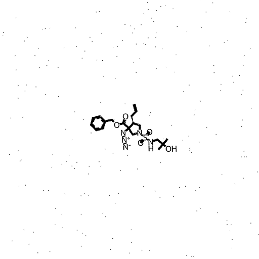 C=CC[C@H]1CN(S(=O)(=O)NCC(C)(C)O)CC1(N=[N+]=[N-])C(=O)OCc1ccccc1